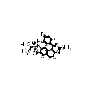 CC(C)S(=O)(=O)Nc1cc2c(cc1Cl)CCc1nc(N)nc(-c3ccc(F)cc3)c1-2